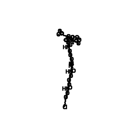 CC[C@H](C(=O)N1CCCCC1C(=O)O[C@H](CCc1ccc(OC)c(OC)c1)c1cccc(OCC(=O)NCCOCCOCCOCCn2cc(CCC(=O)NCCOCCOCCOCC(=O)NCCOCCOCCCCCCCl)nn2)c1)c1cc(OC)c(OC)c(OC)c1